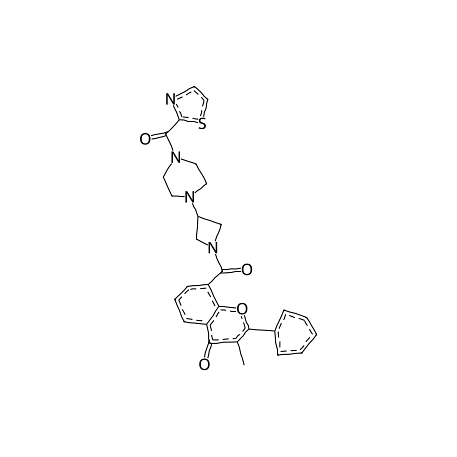 Cc1c(-c2ccccc2)oc2c(C(=O)N3CC(N4CCN(C(=O)c5nccs5)CC4)C3)cccc2c1=O